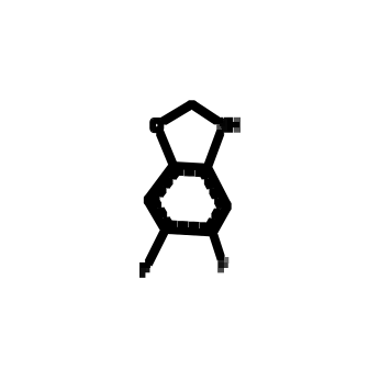 Fc1cc2c(cc1F)OCN2